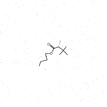 CCCCOC(=O)[C@H](C)C(C)(C)C